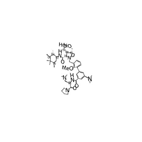 COc1c(CN2O[C@@H](CO)[C@@H]([C@H](C)O)[C@H]2C(=O)N[C@H]2C[C@@H](C)C(C)(C)[C@@H](C)[C@@H]2C)cccc1-c1cc(C(=O)N[C@H](CN(C)C)C(=O)N2CCCC2)cc(N(C)C)c1